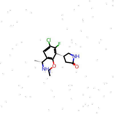 CCOc1c([C@@H](C)N)cc(Cl)c(F)c1[C@@H]1CNC(=O)C1